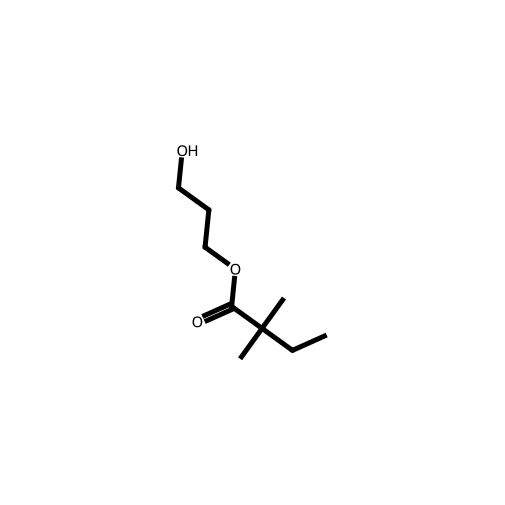 CCC(C)(C)C(=O)OCCCO